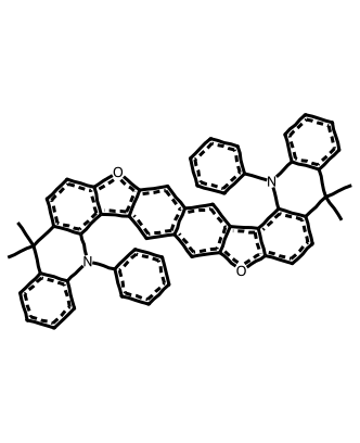 CC1(C)c2ccccc2N(c2ccccc2)c2c1ccc1oc3cc4cc5c(cc4cc3c21)oc1ccc2c(c15)N(c1ccccc1)c1ccccc1C2(C)C